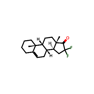 C[C@]12CCCCC1=CC[C@@H]1[C@H]2CC[C@]2(C)C(=O)C(F)(F)C[C@@H]12